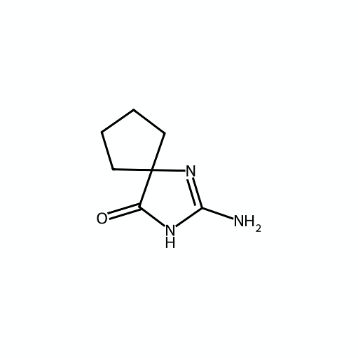 NC1=NC2(CCCC2)C(=O)N1